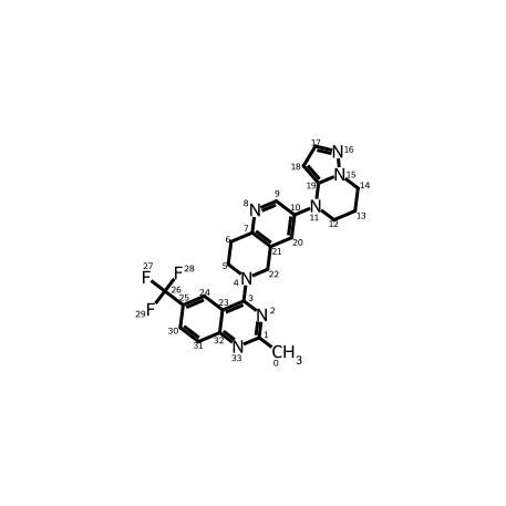 Cc1nc(N2CCc3ncc(N4CCCn5nccc54)cc3C2)c2cc(C(F)(F)F)ccc2n1